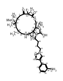 B[C@@H]1CC(=O)[C@](C)(F)C(=O)O[C@H](CC)[C@@]2(C)OC(O)N(CCCCn3cc(-c4cccc(N)c4)nn3)[C@@H]2[C@@H](C)NC[C@H](C)C[C@@]1(C)OC